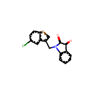 O=C1C(=O)N(Cc2csc3ccc(Cl)cc23)c2ccccc21